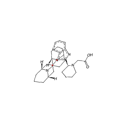 O=C(O)CN1CCCC[C@H]1c1nc2ccccc2n1C1C[C@H]2CCC[C@@H](C1)N2C1CCC2CCC[C@@H]1C2